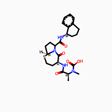 C[C@@H](C(=O)N[C@H]1CCS[C@H]2CCC(C(=O)N[C@@H]3CCCc4ccccc43)N2C1=O)N(C)C(=O)O